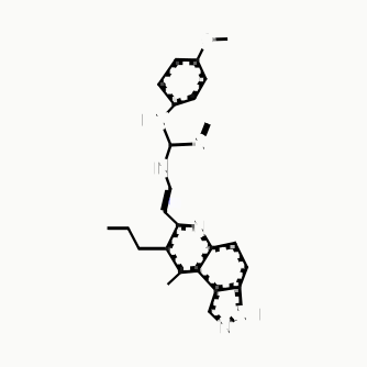 C=NC(N/C=C/c1nc2ccc3[nH]ncc3c2c(C)c1CCC)Nc1ccc(OC)cc1